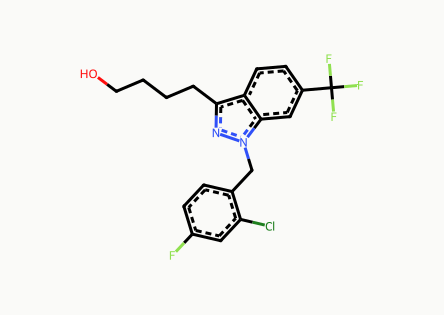 OCCCCc1nn(Cc2ccc(F)cc2Cl)c2cc(C(F)(F)F)ccc12